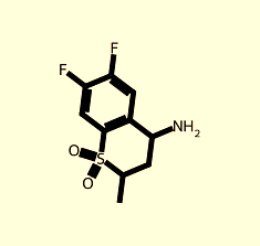 CC1CC(N)c2cc(F)c(F)cc2S1(=O)=O